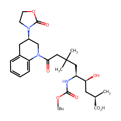 C[C@H](C[C@H](O)[C@H](CC(C)(C)CC(=O)N1C[C@H](N2CCOC2=O)Cc2ccccc21)NC(=O)OC(C)(C)C)C(=O)O